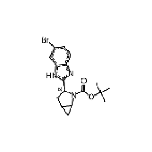 CC(C)(C)OC(=O)N1C2CC2C[C@H]1c1nc2ccc(Br)cc2[nH]1